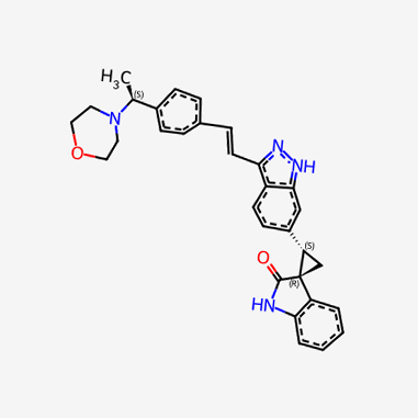 C[C@@H](c1ccc(C=Cc2n[nH]c3cc([C@@H]4C[C@@]45C(=O)Nc4ccccc45)ccc23)cc1)N1CCOCC1